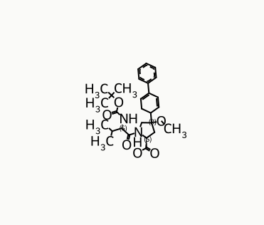 CO[C@@]1(C2C=CC(c3ccccc3)=CC2)C[C@@H](C(=O)O)N(C(=O)[C@@H](NC(=O)OC(C)(C)C)C(C)C)C1